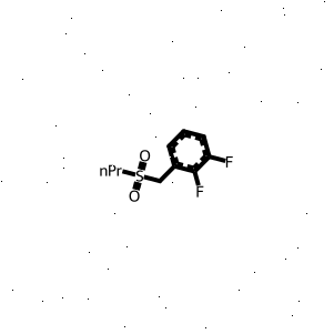 CCCS(=O)(=O)Cc1cccc(F)c1F